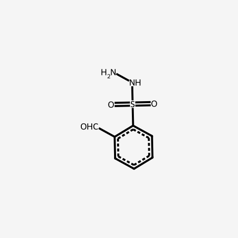 NNS(=O)(=O)c1ccccc1C=O